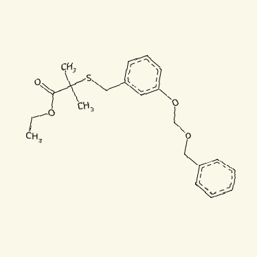 CCOC(=O)C(C)(C)SCc1cccc(OCOCc2ccccc2)c1